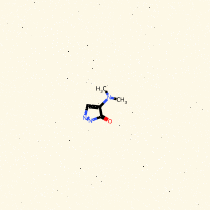 CN(C)C1=CN=NC1=O